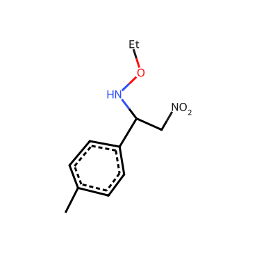 CCONC(C[N+](=O)[O-])c1ccc(C)cc1